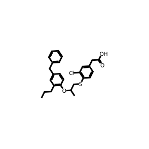 CCCc1cc(Cc2ccccc2)ccc1OC(C)CSc1ccc(CC(=O)O)cc1Cl